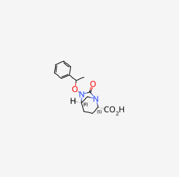 CC(ON1C(=O)N2C[C@H]1CC[C@H]2C(=O)O)c1ccccc1